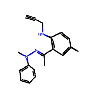 C#CCNc1ccc(C)cc1/C(C)=N/N(C)c1ccccc1